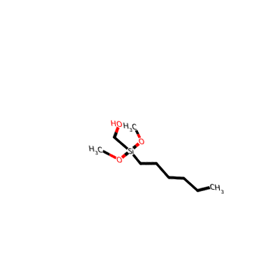 CCCCCC[Si](CO)(OC)OC